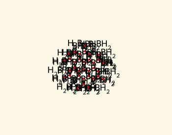 BB(B)B(B)B(B(B)B)B(B(B(B(B)B)B(B)B)B(B(B)B)B(B)B)B(B(B(B(B)B)B(B)B)B(B(B)B)B(B)B)P(B(B(B(B(B)B)B(B)B)B(B(B)B)B(B)B)B(B(B(B)B)B(B)B)B(B(B)B)B(B)B)B(B(B(B(B)B)B(B)B)B(B(B)B)B(B)B)B(B(B(B)B)B(B)B)B(B(B)B)B(B)B